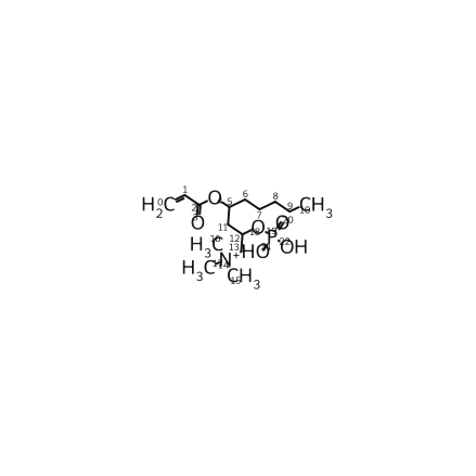 C=CC(=O)OC(CCCCC)CC(C[N+](C)(C)C)OP(=O)(O)O